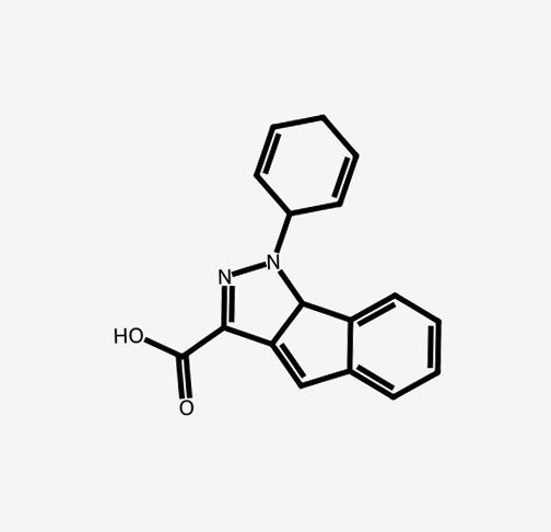 O=C(O)C1=NN(C2C=CCC=C2)C2C1=Cc1ccccc12